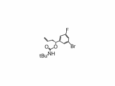 C=CC[C@H](OC(=O)NC(C)(C)C)c1cc(F)cc(Br)c1